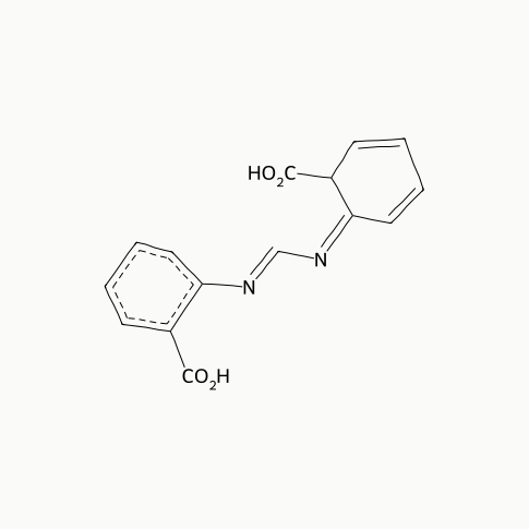 O=C(O)c1ccccc1N=CN=C1C=CC=CC1C(=O)O